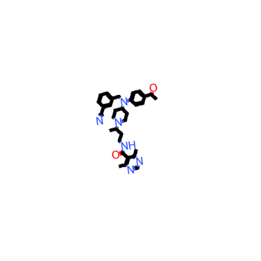 CC(=O)c1ccc(N(Cc2cccc(C#N)c2)C2CCN(C(C)CCNC(=O)c3c(C)ncnc3C)CC2)cc1